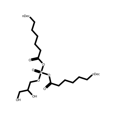 CCCCCCCCCCCCCCCC(=O)OP(=O)(OCC(O)CO)OC(=O)CCCCCCCCCCCCCCC